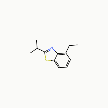 CCc1cccc2sc(C(C)C)nc12